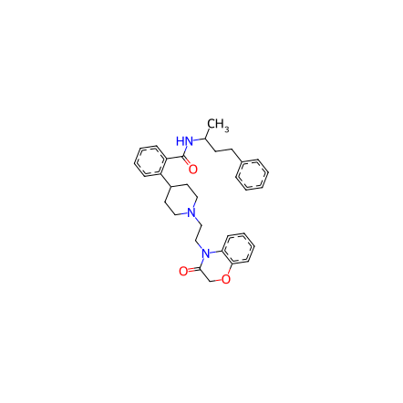 CC(CCc1ccccc1)NC(=O)c1ccccc1C1CCN(CCN2C(=O)COc3ccccc32)CC1